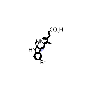 Cc1c(CCC(=O)O)c[nH]c1/C=C1\C(=O)Nc2ccc(Br)cc21